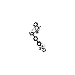 Cc1noc(-c2ccc(-c3ccc(S(=O)(=O)N4CCCC4)cc3)cc2)c1NC(=O)O[C@H](C)c1ccccc1